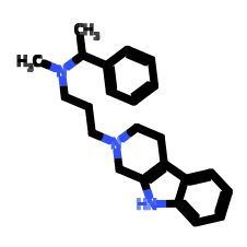 CC(c1ccccc1)N(C)CCCN1CCc2c([nH]c3ccccc23)C1